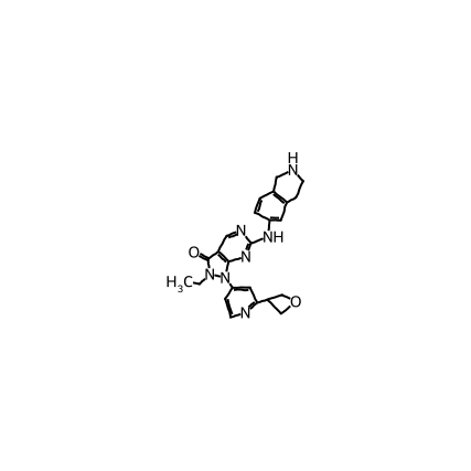 CCn1c(=O)c2cnc(Nc3ccc4c(c3)CCNC4)nc2n1-c1ccnc(C2COC2)c1